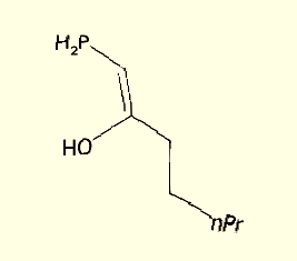 CCCCCC(O)=CP